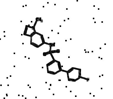 Cn1ccc2ccc(NS(=O)(=O)c3cccc(-c4ccc(F)cc4)c3)cc21